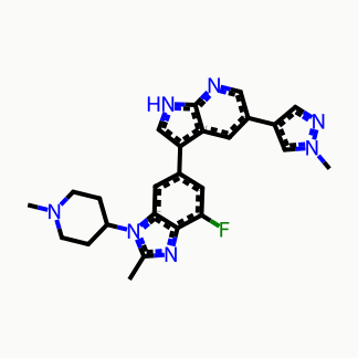 Cc1nc2c(F)cc(-c3c[nH]c4ncc(-c5cnn(C)c5)cc34)cc2n1C1CCN(C)CC1